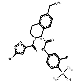 COCc1ccc2c(c1)CCN(C(=O)c1cc(O)no1)[C@H]2C(=O)Nc1ccc([Si](C)(C)C)c(F)c1